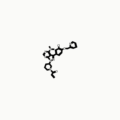 C=CC(=O)N1CCCC(n2nc(-c3ccc(OCc4ccccn4)c(Cl)c3)c3c(N(C)C)ncnc32)C1